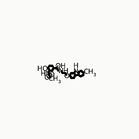 Cc1ccc2c(c1)[nH]c1cc(OCCNC[C@H](O)c3ccc(O)c(NS(C)(=O)=O)c3)ccc12